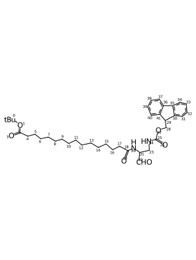 CC(C)(C)OC(=O)CCCCCCCCCCCCCCC(=O)NC(C=O)CNC(=O)OCC1c2ccccc2-c2ccccc21